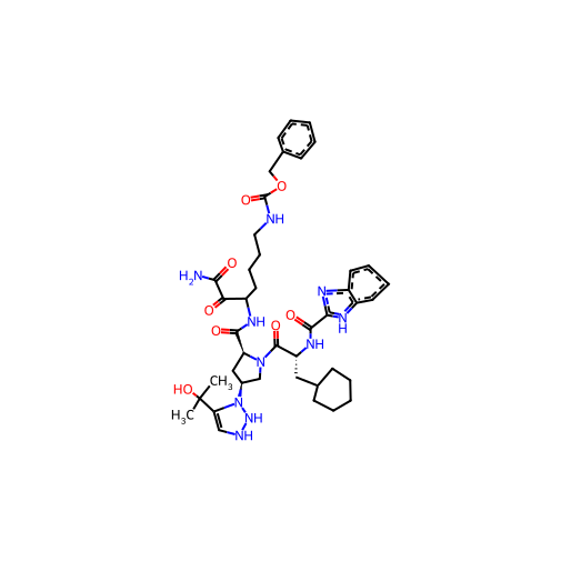 CC(C)(O)C1=CNNN1[C@H]1C[C@@H](C(=O)NC(CCCCNC(=O)OCc2ccccc2)C(=O)C(N)=O)N(C(=O)[C@@H](CC2CCCCC2)NC(=O)c2nc3ccccc3[nH]2)C1